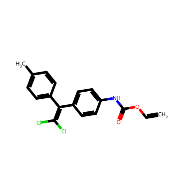 C=COC(=O)Nc1ccc(C(=C(Cl)Cl)c2ccc(C)cc2)cc1